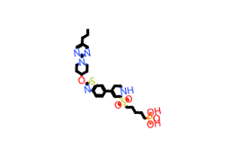 CCCc1cnc(N2CCC(Oc3nc4ccc(C5=CC(S(=O)(=O)CCCCCP(=O)(O)O)NCC5)cc4s3)CC2)nc1